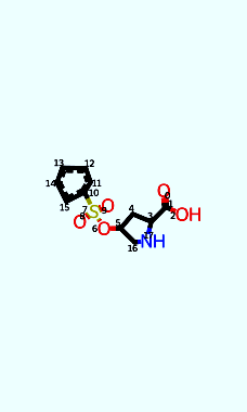 O=C(O)C1CC(OS(=O)(=O)c2ccccc2)CN1